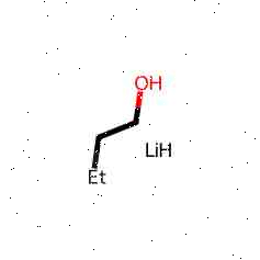 [CH2]CCCO.[LiH]